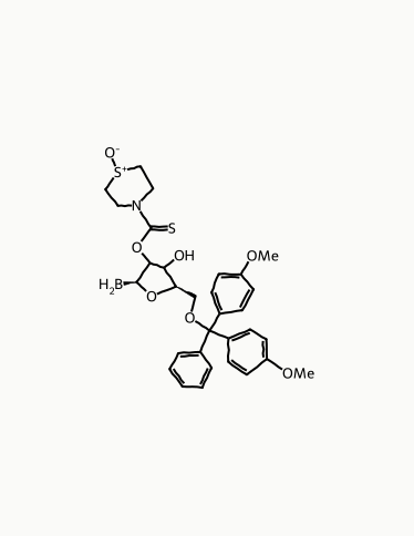 B[C@@H]1O[C@H](COC(c2ccccc2)(c2ccc(OC)cc2)c2ccc(OC)cc2)C(O)C1OC(=S)N1CC[S+]([O-])CC1